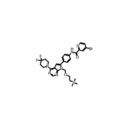 C[Si](C)(C)CCOCn1c(-c2ccc(NC(=O)c3cc(Br)ccn3)cc2)cc2c(N3CCC(F)(F)CC3)ncnc21